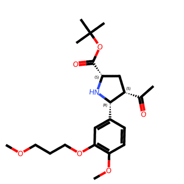 COCCCOc1cc([C@@H]2N[C@H](C(=O)OC(C)(C)C)C[C@@H]2C(C)=O)ccc1OC